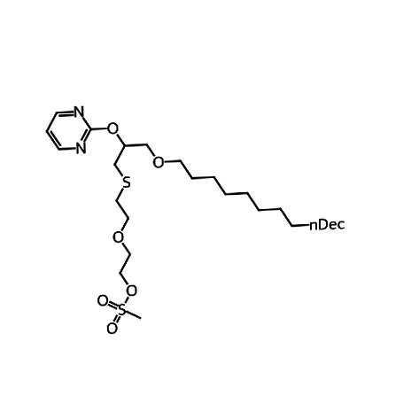 CCCCCCCCCCCCCCCCCCOCC(CSCCOCCOS(C)(=O)=O)Oc1ncccn1